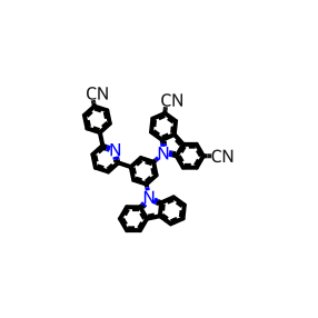 N#Cc1ccc(-c2cccc(-c3cc(-n4c5ccccc5c5ccccc54)cc(-n4c5ccc(C#N)cc5c5cc(C#N)ccc54)c3)n2)cc1